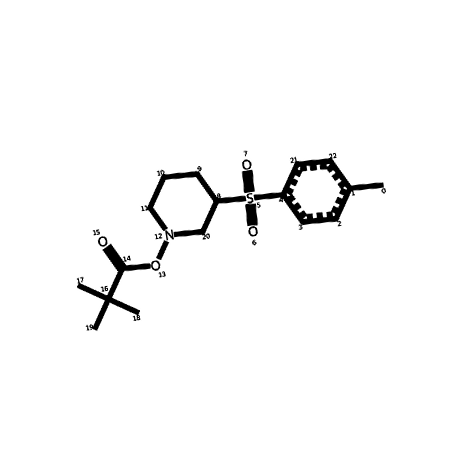 Cc1ccc(S(=O)(=O)C2CCCN(OC(=O)C(C)(C)C)C2)cc1